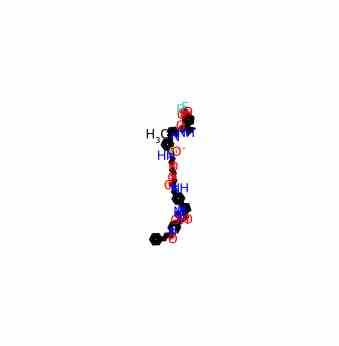 Cc1ccc(NC(=O)C2(c3ccc4c(c3)OC(F)(F)O4)CC2)nc1-c1cccc([S+]([O-])NCCOCCOCC(=O)NCc2ccc(-c3ccc4c(=O)n(CC5(O)CCN(C(=O)CCc6ccccc6)CC5)cnn34)cc2)c1